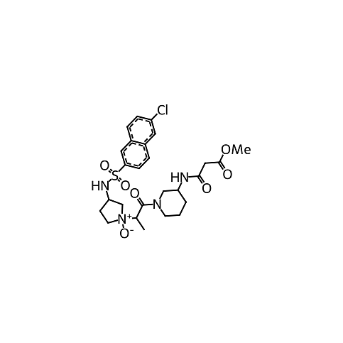 COC(=O)CC(=O)NC1CCCN(C(=O)C(C)[N+]2([O-])CCC(NS(=O)(=O)c3ccc4cc(Cl)ccc4c3)C2)C1